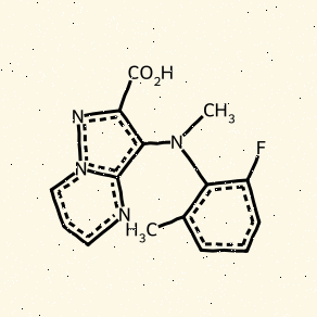 Cc1cccc(F)c1N(C)c1c(C(=O)O)nn2cccnc12